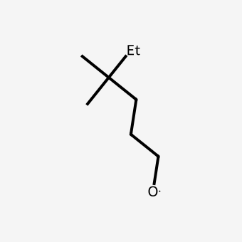 CCC(C)(C)CCC[O]